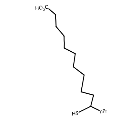 CCCC(S)CCCCCCCCCC(=O)O